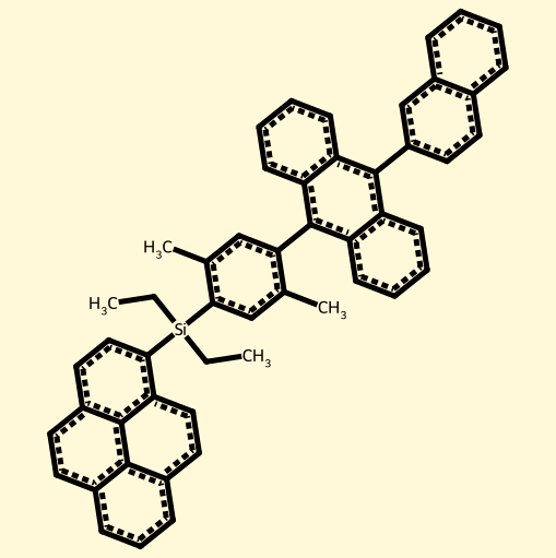 CC[Si](CC)(c1cc(C)c(-c2c3ccccc3c(-c3ccc4ccccc4c3)c3ccccc23)cc1C)c1ccc2ccc3cccc4ccc1c2c34